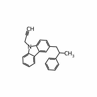 C#CCn1c2ccccc2c2cc(CC(C)c3ccccc3)ccc21